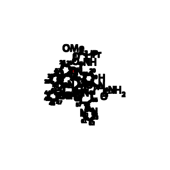 COC(=O)[C@H](NC(=O)N1C(=O)[C@@]2(c3cc(CNC(N)=O)ccc31)[C@H](c1ccccc1OCCO)N1[C@H](c3ccccc3)[C@H](c3ccccc3)OC(=O)[C@H]1[C@@H]2C(=O)N1CCC(c2ncccn2)CC1)C(C)C